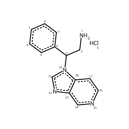 Cl.NCC(c1ccccc1)n1cnc2cnccc21